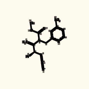 C=C([C@@H](N=[N+]=[N-])C(C)C)N(Cc1cc([N+](=O)[O-])ccn1)C(=O)OC(C)(C)C